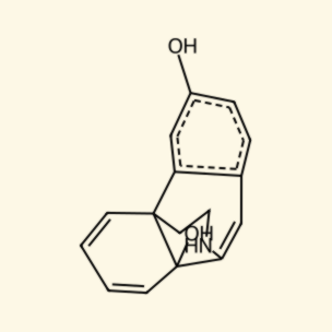 Oc1ccc2c(c1)C13C=CC=CC1(O)C(=C2)NCC3